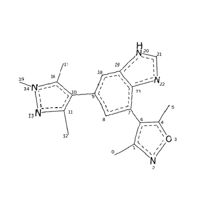 Cc1noc(C)c1-c1cc(-c2c(C)nn(C)c2C)cc2[nH]cnc12